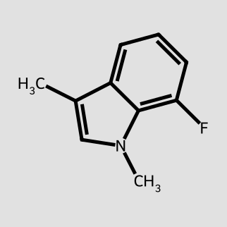 Cc1cn(C)c2c(F)cccc12